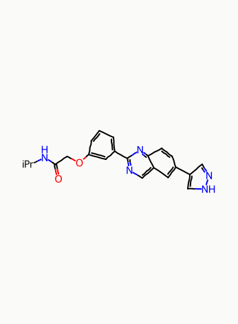 CC(C)NC(=O)COc1cccc(-c2ncc3cc(-c4cn[nH]c4)ccc3n2)c1